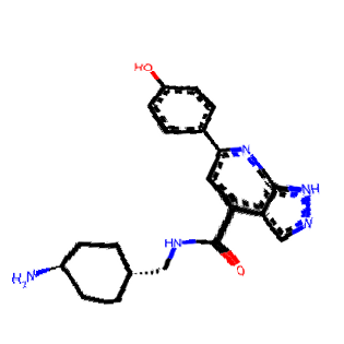 N[C@H]1CC[C@H](CNC(=O)c2cc(-c3ccc(O)cc3)nc3[nH]ncc23)CC1